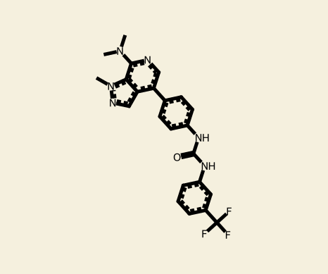 CN(C)c1ncc(-c2ccc(NC(=O)Nc3cccc(C(F)(F)F)c3)cc2)c2cnn(C)c12